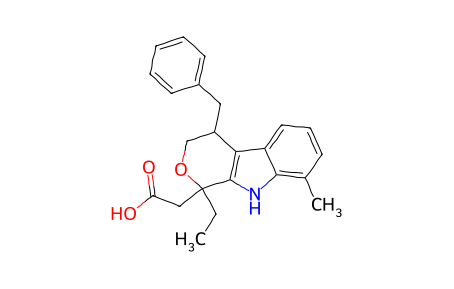 CCC1(CC(=O)O)OCC(Cc2ccccc2)c2c1[nH]c1c(C)cccc21